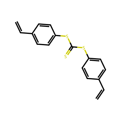 C=Cc1ccc(SC(=S)Sc2ccc(C=C)cc2)cc1